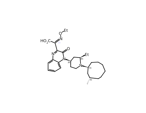 CCO/N=C(\C(=O)O)c1nc2ccccc2n([C@@H]2CCN([C@H]3CCCCCC[C@H](C)C3)[C@H](CC)C2)c1=O